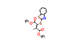 C/C(C(=O)OC(C)C)=C(/Sc1nc2ccccc2s1)C(=O)OC(C)C